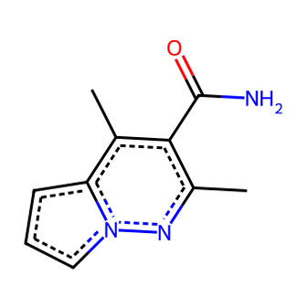 Cc1nn2cccc2c(C)c1C(N)=O